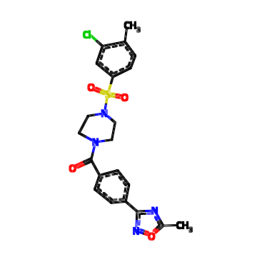 Cc1nc(-c2ccc(C(=O)N3CCN(S(=O)(=O)c4ccc(C)c(Cl)c4)CC3)cc2)no1